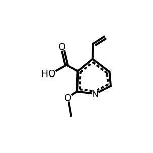 C=Cc1ccnc(OC)c1C(=O)O